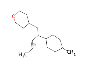 C/C=C/C(CC1CCOCC1)C1CCC(C)CC1